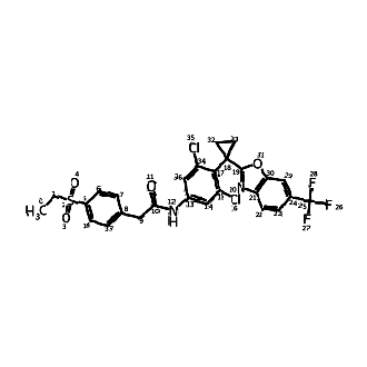 CCS(=O)(=O)c1ccc(CC(=O)Nc2cc(Cl)c(C3(c4nc5ccc(C(F)(F)F)cc5o4)CC3)c(Cl)c2)cc1